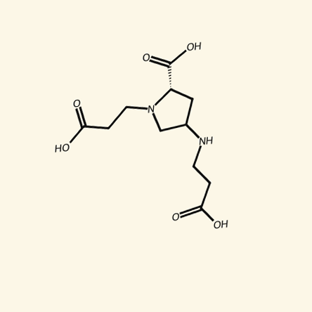 O=C(O)CCNC1C[C@@H](C(=O)O)N(CCC(=O)O)C1